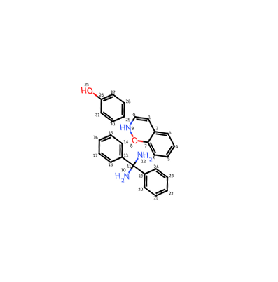 C1=Cc2ccccc2ON1.NC(N)(c1ccccc1)c1ccccc1.Oc1ccccc1